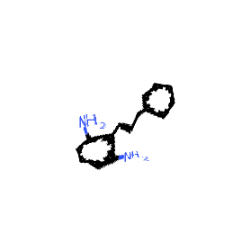 Nc1cccc(N)c1C=Cc1ccccc1